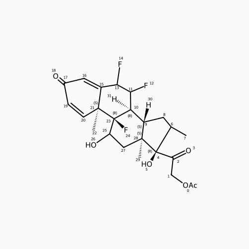 CC(=O)OCC(=O)[C@@]1(O)C(C)C[C@H]2[C@@H]3C(F)C(F)C4=CC(=O)C=C[C@]4(C)[C@@]3(F)C(O)C[C@@]21C